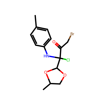 Cc1ccc(NC(Cl)(C(=O)CBr)C2OCC(C)O2)cc1